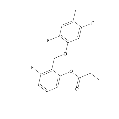 CCC(=O)Oc1cccc(F)c1COc1cc(F)c(C)cc1F